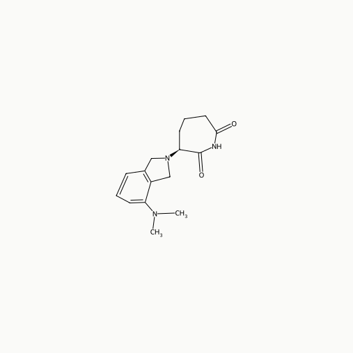 CN(C)c1cccc2c1CN([C@H]1CCCC(=O)NC1=O)C2